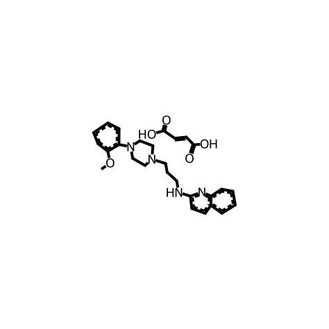 COc1ccccc1N1CCN(CCCNc2ccc3ccccc3n2)CC1.O=C(O)C=CC(=O)O